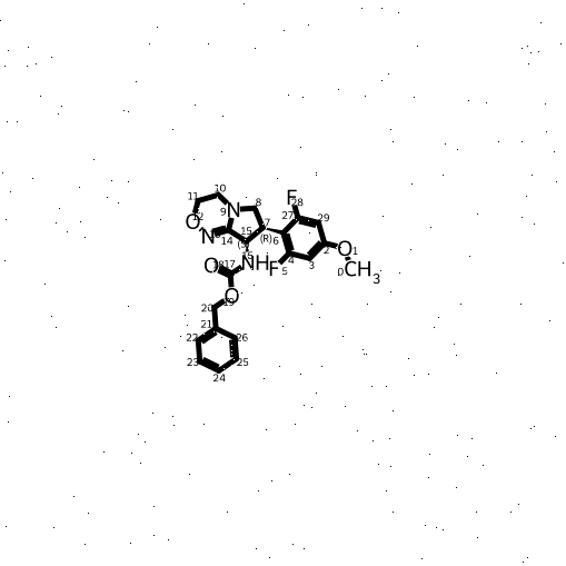 COc1cc(F)c([C@@H]2CN3CCON=C3[C@H]2NC(=O)OCc2ccccc2)c(F)c1